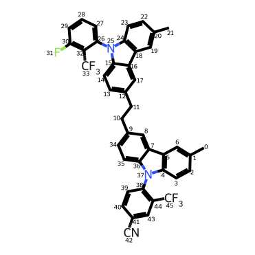 Cc1ccc2c(c1)c1cc(CCc3ccc4c(c3)c3cc(C)ccc3n4-c3cccc(F)c3C(F)(F)F)ccc1n2-c1ccc(C#N)cc1C(F)(F)F